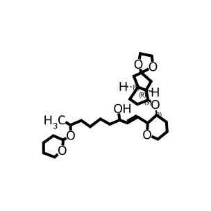 CC(CCCCC(O)C=CC1OCCC[C@H]1O[C@H]1CC[C@H]2CC3(C[C@H]21)OCCO3)OC1CCCCO1